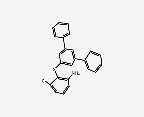 Nc1cccc(Cl)c1Sc1cc(-c2ccccc2)cc(-c2ccccc2)c1